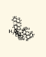 C[Si](C)=[Zr]([Cl])([Cl])([CH]1C(CC(C)(C)C)=Cc2c(-c3cccc4ccccc34)cccc21)[CH]1C(CC(C)(C)C)=Cc2c(-c3cccc4ccccc34)cccc21